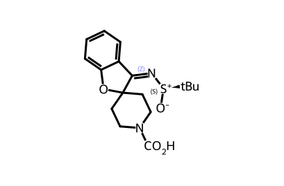 CC(C)(C)[S@@+]([O-])/N=C1/c2ccccc2OC12CCN(C(=O)O)CC2